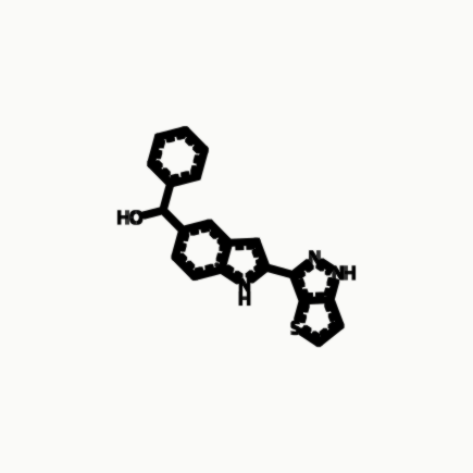 OC(c1ccccc1)c1ccc2[nH]c(-c3n[nH]c4ccsc34)cc2c1